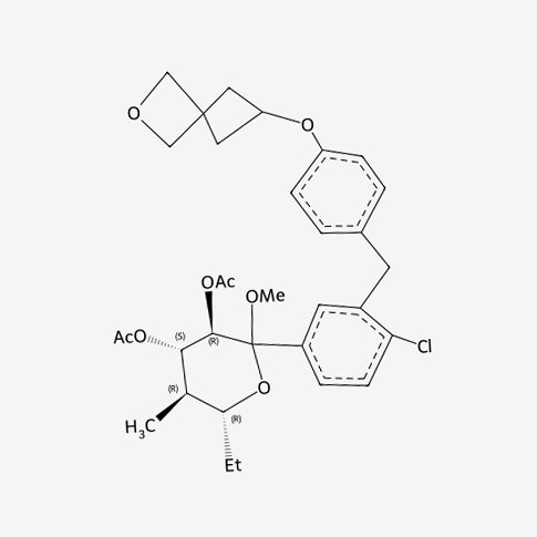 CC[C@H]1OC(OC)(c2ccc(Cl)c(Cc3ccc(OC4CC5(COC5)C4)cc3)c2)[C@H](OC(C)=O)[C@@H](OC(C)=O)[C@@H]1C